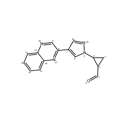 O=CC1CC1n1cc(-c2cnc3ccccc3n2)cn1